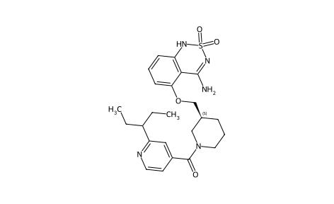 CCC(CC)c1cc(C(=O)N2CCC[C@H](COc3cccc4c3C(N)=NS(=O)(=O)N4)C2)ccn1